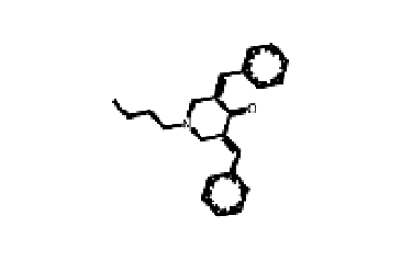 CCCCN1CC(=Cc2ccccc2)C(=O)C(=Cc2ccccc2)C1